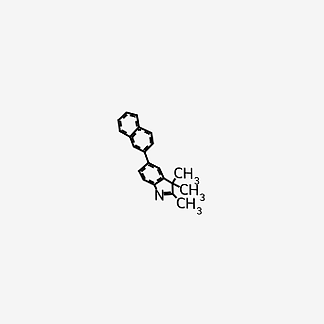 CC1=Nc2ccc(-c3ccc4ccccc4c3)cc2C1(C)C